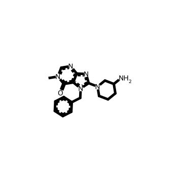 Cn1cnc2nc(N3CCCC(N)C3)n(Cc3ccccc3)c2c1=O